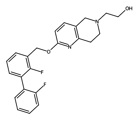 OCCN1CCc2nc(OCc3cccc(-c4ccccc4F)c3F)ccc2C1